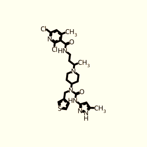 Cc1cc(NC(=O)N(Cc2ccsc2)C2CCN(C(C)CCNC(=O)c3c(C)cc(Cl)nc3Cl)CC2)n[nH]1